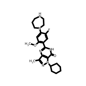 COc1cc(N2CCCNCC2)c(F)cc1-c1nc2c(C)nn(C3CCCCC3)c2c(=O)[nH]1